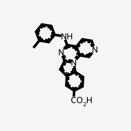 Cc1cccc(Nc2nc3cc4cc(C(=O)O)ccc4n3c3cnccc23)c1